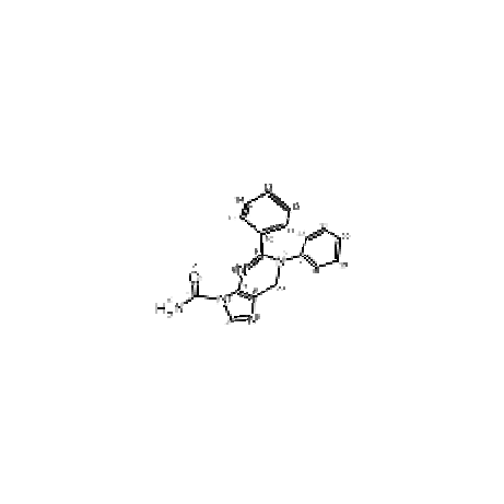 NC(=O)n1cnc2c1N=C(c1ccccc1)N(c1ccccc1)C2